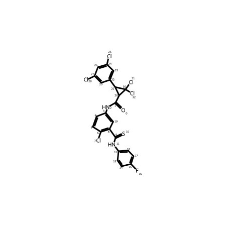 O=C(Nc1ccc(Cl)c(C(=S)Nc2ccc(F)cc2)c1)C1C(c2cc(Cl)cc(Cl)c2)C1(Cl)Cl